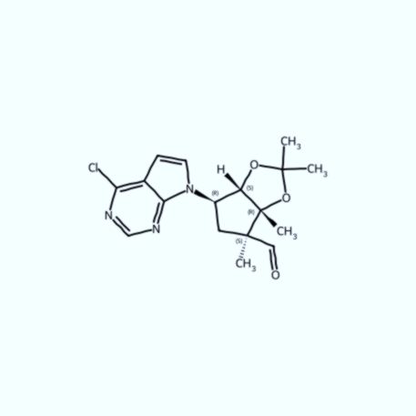 CC1(C)O[C@H]2[C@H](n3ccc4c(Cl)ncnc43)C[C@](C)(C=O)[C@@]2(C)O1